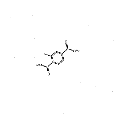 COC(=O)c1ccc(C(=O)OC(C)=O)c(C)c1